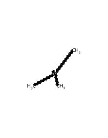 CCCCCCCCCCCCCCCCCn1cc[n+](CCCCCCCCCCCCC)c1CCCCCCC